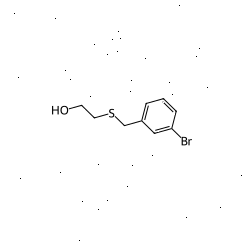 OCCSCc1cccc(Br)c1